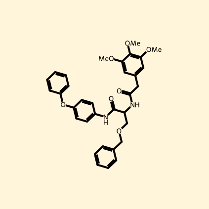 COc1cc(CC(=O)NC(COCc2ccccc2)C(=O)Nc2ccc(Oc3ccccc3)cc2)cc(OC)c1OC